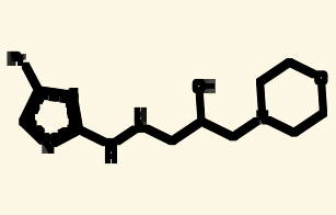 CC(C)c1cnc(NNCC(O)CN2CCOCC2)s1